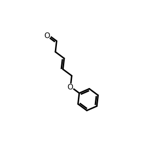 O=CCC=CCOc1ccccc1